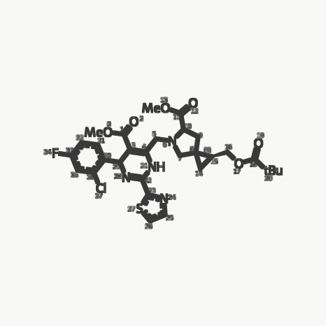 COC(=O)C1=C(CN2CC3(CC2C(=O)OC)C[C@@H]3COC(=O)C(C)(C)C)NC(c2nccs2)=NC1c1ccc(F)cc1Cl